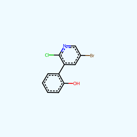 Oc1ccccc1-c1cc(Br)cnc1Cl